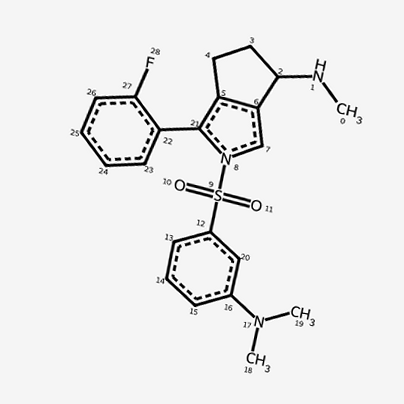 CNC1CCc2c1cn(S(=O)(=O)c1cccc(N(C)C)c1)c2-c1ccccc1F